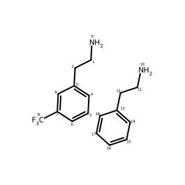 NCCc1cccc(C(F)(F)F)c1.NCCc1ccccc1